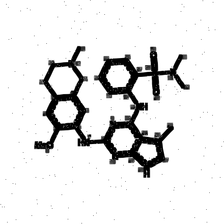 COc1cc2c(cc1Nc1nc(Nc3ccccc3S(=O)(=O)N(C)C)c3c(C)c[nH]c3n1)CN(C)CC2